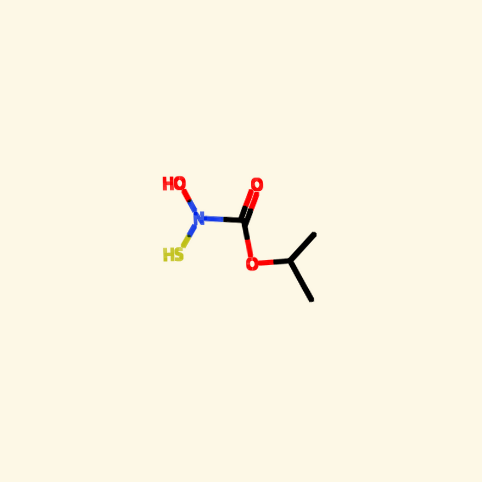 CC(C)OC(=O)N(O)S